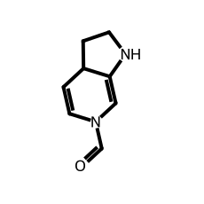 O=CN1C=CC2CCNC2=C1